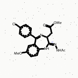 COC(=O)CC1N=C(c2ccc(Cl)cc2)c2cc(OC)ccc2N/C1=N\NC(C)=O